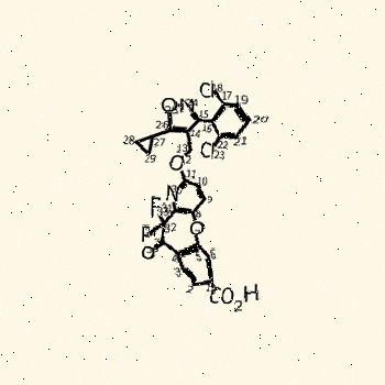 O=C(O)c1ccc2c(c1)Oc1ccc(OCc3c(-c4c(Cl)cccc4Cl)noc3C3CC3)nc1C(F)(F)C2=O